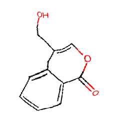 O=c1occ(CO)c2ccccc12